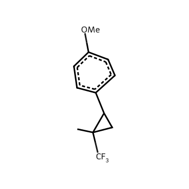 COc1ccc(C2CC2(C)C(F)(F)F)cc1